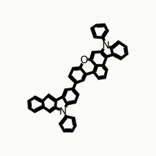 c1ccc(-n2c3ccc(-c4ccc5c(c4)-c4cccc6c4c(cc4c6c6ccccc6n4-c4ccccc4)O5)cc3c3cc4ccccc4cc32)cc1